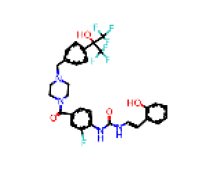 O=C(NC=Cc1ccccc1O)Nc1ccc(C(=O)N2CCN(Cc3ccc(C(O)(C(F)(F)F)C(F)(F)F)cc3)CC2)cc1F